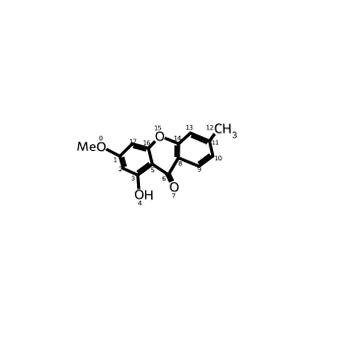 COc1cc(O)c2c(=O)c3ccc(C)cc3oc2c1